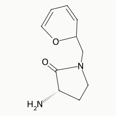 N[C@H]1CCN(CC2C=CC=CO2)C1=O